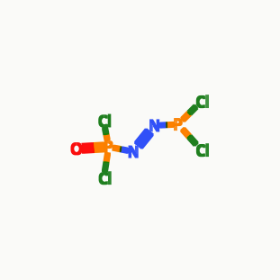 O=P(Cl)(Cl)N=NP(Cl)Cl